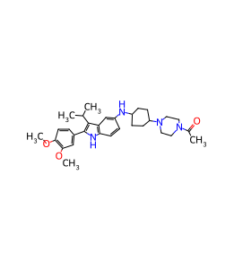 COc1ccc(-c2[nH]c3ccc(NC4CCC(N5CCN(C(C)=O)CC5)CC4)cc3c2C(C)C)cc1OC